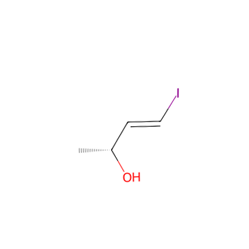 C[C@@H](O)/C=C/I